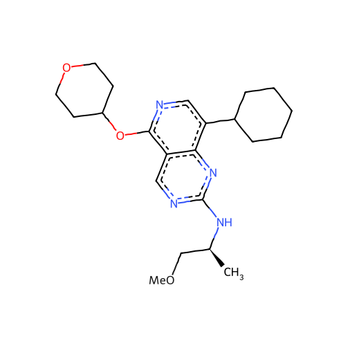 COC[C@H](C)Nc1ncc2c(OC3CCOCC3)ncc(C3CCCCC3)c2n1